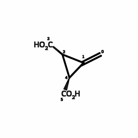 C=C1C(C(=O)O)[C@@H]1C(=O)O